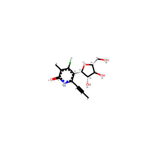 CC#Cc1[nH]c(=O)c(C)c(F)c1[C@@H]1O[C@H](CO)C(O)[C@@H]1O